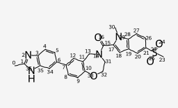 Cc1nc2ccc(-c3ccc4c(c3)CN(C(=O)c3cc5cc(S(C)(=O)=O)ccc5n3C)CCO4)cc2[nH]1